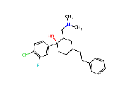 CN(C)CC1CC(CCc2ccccc2)CCC1(O)c1ccc(Cl)c(F)c1